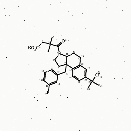 CC(C)(CC(=O)O)C(=O)N1CCC2(Cc3cccc(F)c3)c3ccc(C(C)(F)C(F)(F)F)cc3CCC12